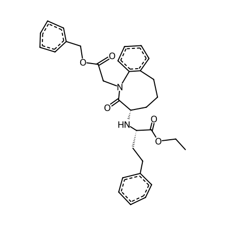 CCOC(=O)[C@H](CCc1ccccc1)N[C@H]1CCCc2ccccc2N(CC(=O)OCc2ccccc2)C1=O